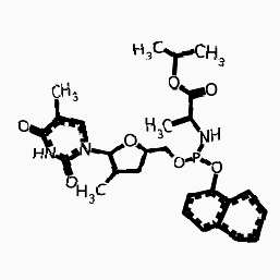 Cc1cn(C2OC(COP(NC(C)C(=O)OC(C)C)Oc3cccc4ccccc34)CC2C)c(=O)[nH]c1=O